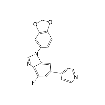 Fc1cc(-c2ccncc2)cc2c1ncn2-c1ccc2c(c1)OCO2